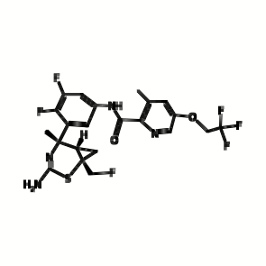 Cc1cc(OCC(F)(F)F)cnc1C(=O)Nc1cc(F)c(F)c([C@@]2(C)N=C(N)S[C@@]3(CF)C[C@H]32)c1